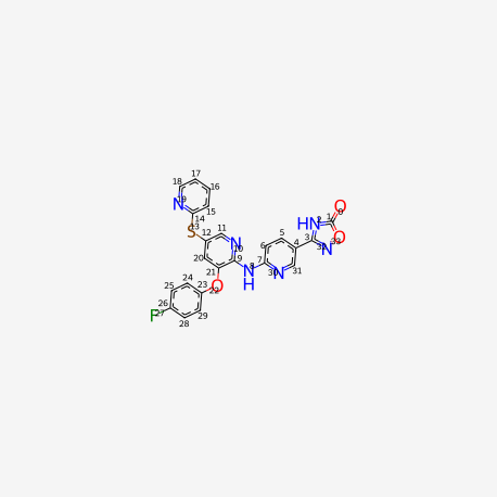 O=c1[nH]c(-c2ccc(Nc3ncc(Sc4ccccn4)cc3Oc3ccc(F)cc3)nc2)no1